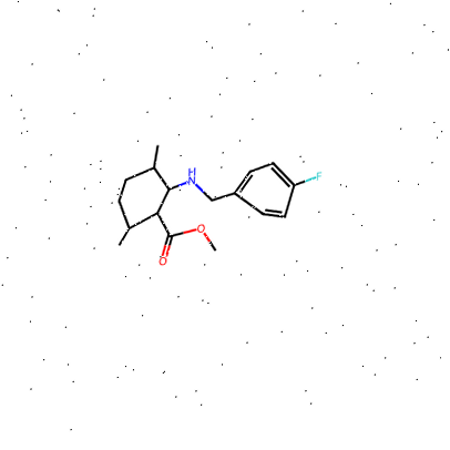 COC(=O)C1C(C)CCC(C)C1NCc1ccc(F)cc1